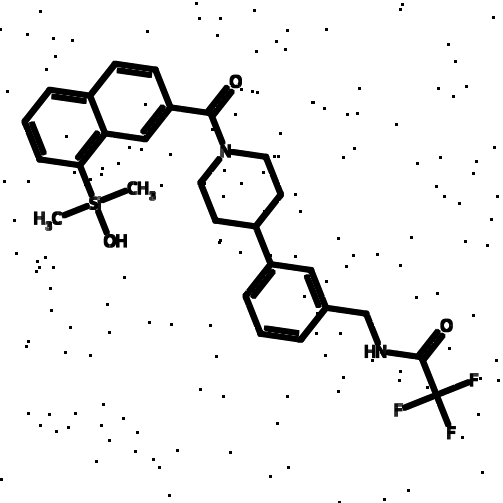 C[Si](C)(O)c1cccc2ccc(C(=O)N3CCC(c4cccc(CNC(=O)C(F)(F)F)c4)CC3)cc12